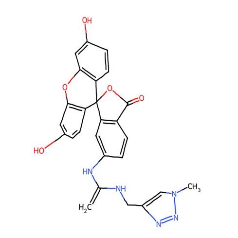 C=C(NCc1cn(C)nn1)Nc1ccc2c(c1)C1(OC2=O)c2ccc(O)cc2Oc2cc(O)ccc21